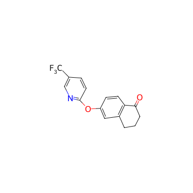 O=C1CCCc2cc(Oc3ccc(C(F)(F)F)cn3)ccc21